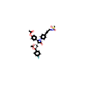 CC(=O)Oc1ccc([C@@H]2[C@@H](CC[C@H](OC(C)=O)c3ccc(F)cc3)C(=O)N2c2ccc(C#CCNS(C)(=O)=O)cc2)cc1